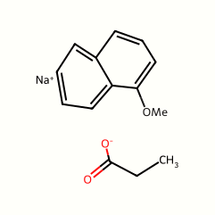 CCC(=O)[O-].COc1cccc2ccccc12.[Na+]